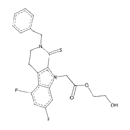 O=C(Cn1c2c(c3c(F)cc(F)cc31)CCN(Cc1ccccc1)C2=S)OCCO